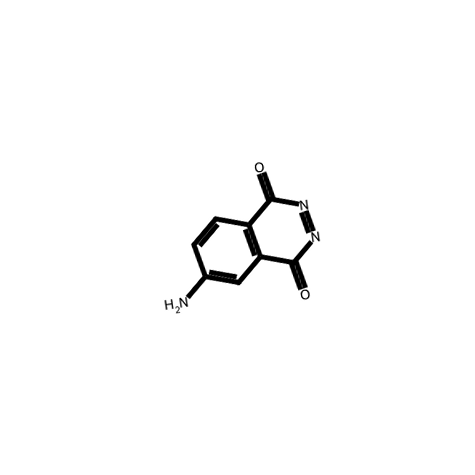 Nc1ccc2c(c1)C(=O)N=NC2=O